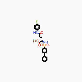 O=C(CC[C@H](NS(=O)(=O)c1ccc(-c2ccccc2)cc1)C(=O)O)Nc1ccc(F)cc1